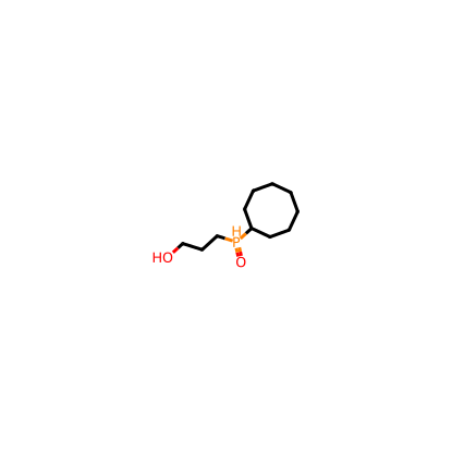 O=[PH](CCCO)C1CCCCCCC1